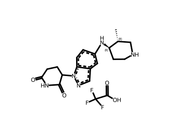 C[C@@H]1CNCC[C@H]1Nc1ccc2c(cnn2C2CCC(=O)NC2=O)c1.O=C(O)C(F)(F)F